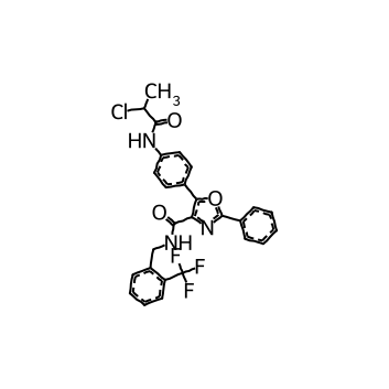 CC(Cl)C(=O)Nc1ccc(-c2oc(-c3ccccc3)nc2C(=O)NCc2ccccc2C(F)(F)F)cc1